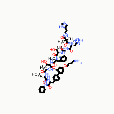 CCc1cc(OCCCCN)ccc1-c1ccc(C[C@H](NC(=O)[C@H](CC(=O)O)NC(=O)[C@H](C)NC(=O)[C@@H](NC(=O)[C@](C)(Cc2ccccc2F)NC(=O)[C@@H](NC(=O)CNC(=O)[C@H](Cc2nn[nH]n2)NC(=O)C(C)(C)C(=O)NCCc2cnc[nH]2)[C@@H](C)O)[C@@H](C)O)C(=O)Nc2ccccc2)cc1